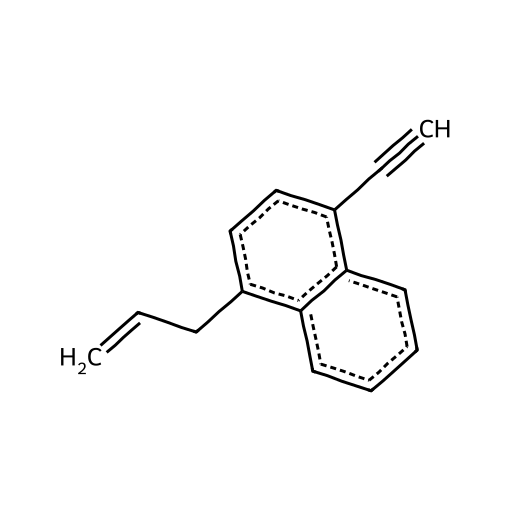 C#Cc1ccc(CC=C)c2ccccc12